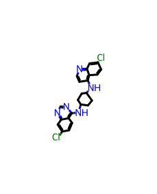 Clc1ccc2c(NC3CCC(Nc4ncnc5cc(Cl)ccc45)CC3)ccnc2c1